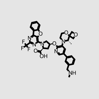 CNCc1cccc(-c2cnc(O[C@H]3C[C@@H](C(=O)O)N(c4nc(C(F)(F)F)nc5c4oc4ccccc45)C3)c(N3CCOC4(COC4)[C@@H]3C)c2)c1